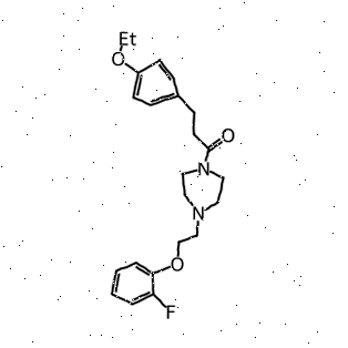 CCOc1ccc(CCC(=O)N2CCN(CCOc3ccccc3F)CC2)cc1